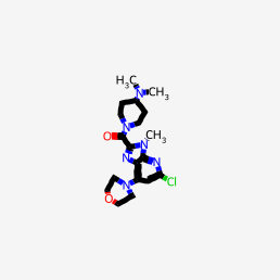 CN(C)C1CCN(C(=O)c2nc3c(N4CCOCC4)cc(Cl)nc3n2C)CC1